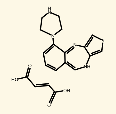 C1=c2cccc(N3CCNCC3)c2=Nc2cscc2N1.O=C(O)C=CC(=O)O